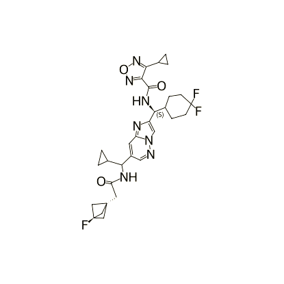 O=C(C[C@]12C[C@@](F)(C1)C2)NC(c1cnn2cc([C@@H](NC(=O)c3nonc3C3CC3)C3CCC(F)(F)CC3)nc2c1)C1CC1